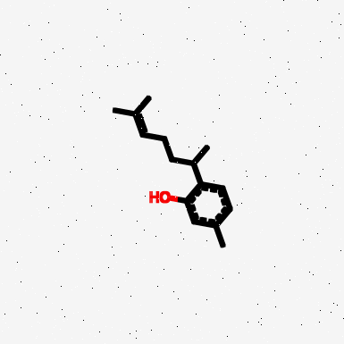 CC(C)=CCCC(C)c1ccc(C)cc1O